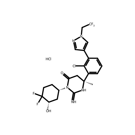 C[C@@]1(c2cccc(-c3cnn(CC(F)(F)F)c3)c2Cl)CC(=O)N([C@H]2CCC(F)(F)[C@@H](O)C2)C(=N)N1.Cl